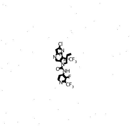 C=C[C@@]1(C(F)(F)F)CN(C(=O)Nc2ccnc(C(F)(F)F)c2F)c2cnc3cc(Cl)nn3c21